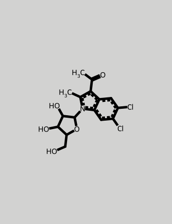 CC(=O)c1c(C)n(C2OC(CO)C(O)C2O)c2cc(Cl)c(Cl)cc12